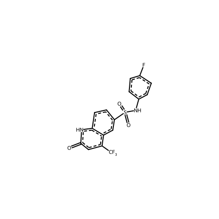 O=c1cc(C(F)(F)F)c2cc(S(=O)(=O)Nc3ccc(F)cc3)ccc2[nH]1